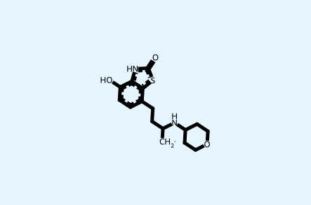 [CH2]C(CCc1ccc(O)c2[nH]c(=O)sc12)NC1CCOCC1